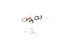 COc1cc2c(Cl)c(-c3cn(COCC[Si](C)(C)C)c4nc(N5C6CCC5CC(NC(=O)OC(C)(C)C)C6)cnc34)ccc2nc1C